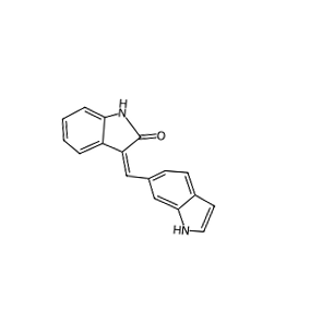 O=C1Nc2ccccc2C1=Cc1ccc2cc[nH]c2c1